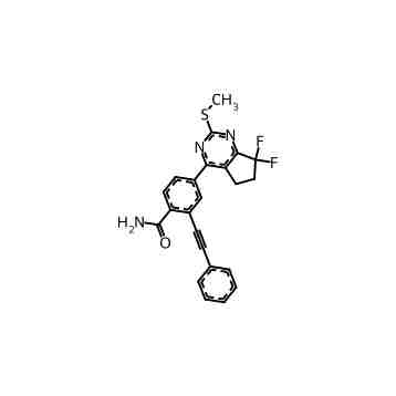 CSc1nc(-c2ccc(C(N)=O)c(C#Cc3ccccc3)c2)c2c(n1)C(F)(F)CC2